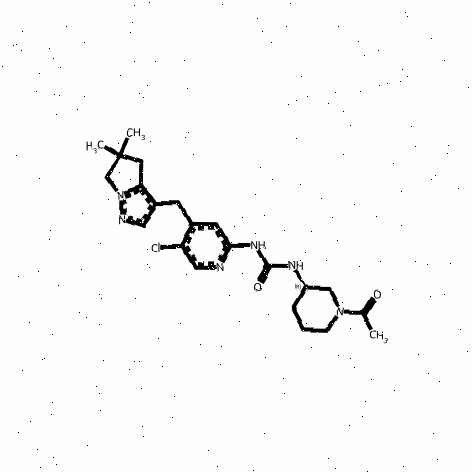 CC(=O)N1CCC[C@@H](NC(=O)Nc2cc(Cc3cnn4c3CC(C)(C)C4)c(Cl)cn2)C1